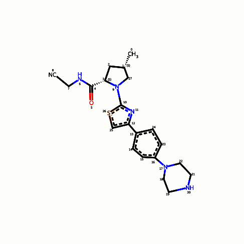 C[C@H]1C[C@@H](C(=O)NCC#N)N(c2nc(-c3ccc(N4CCNCC4)cc3)cs2)C1